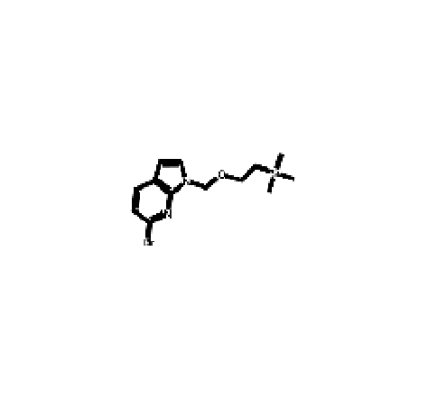 C[Si](C)(C)CCOCn1ccc2ccc(Br)nc21